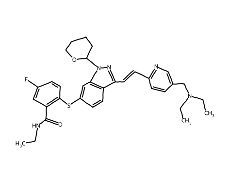 CCNC(=O)c1cc(F)ccc1Sc1ccc2c(/C=C/c3ccc(CN(CC)CC)cn3)nn(C3CCCCO3)c2c1